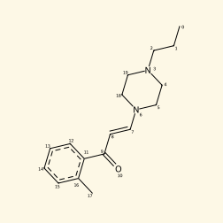 CCCN1CCN(C=CC(=O)c2ccccc2C)CC1